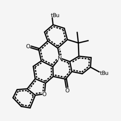 CC(C)(C)c1cc2c3c(c1)c(=O)c1cc4c5ccccc5oc4c4c(=O)c5cc(C(C)(C)C)cc(c5n3c14)C2(C)C